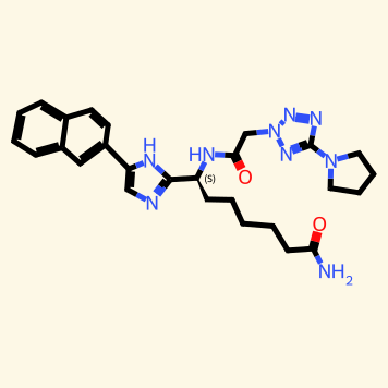 NC(=O)CCCCC[C@H](NC(=O)Cn1nnc(N2CCCC2)n1)c1ncc(-c2ccc3ccccc3c2)[nH]1